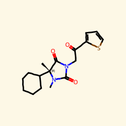 CN1C(=O)N(CC(=O)c2cccs2)C(=O)[C@@]1(C)C1CCCCC1